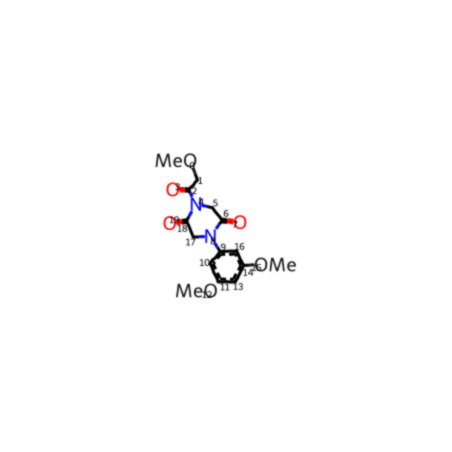 COCC(=O)N1CC(=O)N(c2cc(OC)cc(OC)c2)CC1=O